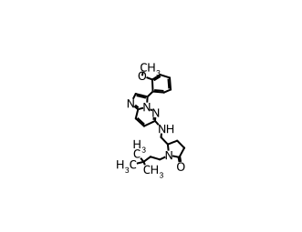 COc1ccccc1-c1cnc2ccc(NCC3CCC(=O)N3CCC(C)(C)C)nn12